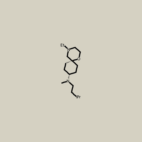 CCN1CCO[C@]2(CC[C@@H](N(C)CCC(C)C)CC2)C1